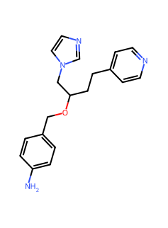 Nc1ccc(COC(CCc2ccncc2)Cn2ccnc2)cc1